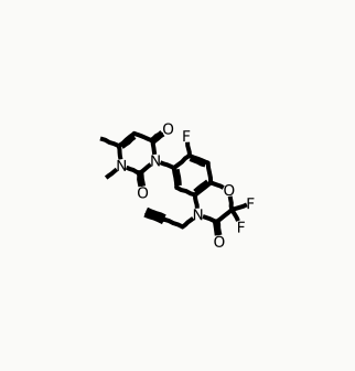 C#CCN1C(=O)C(F)(F)Oc2cc(F)c(-n3c(=O)cc(C)n(C)c3=O)cc21